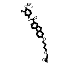 O=C(Oc1ccc(OC(F)(F)F)c(F)c1)c1ccc2c(c1)Cc1cc(OCCCCOCC3CO3)ccc1-2